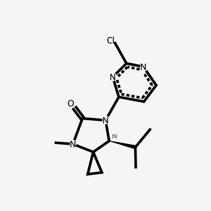 CC(C)[C@@H]1N(c2ccnc(Cl)n2)C(=O)N(C)C12CC2